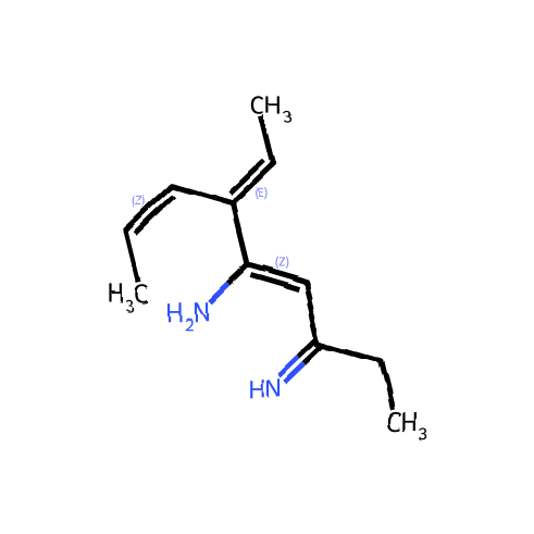 C\C=C/C(=C\C)C(/N)=C/C(=N)CC